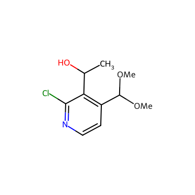 COC(OC)c1ccnc(Cl)c1C(C)O